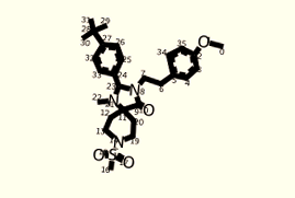 COc1ccc(CCN2C(=O)C3(CCN(S(C)(=O)=O)CC3)N(C)C2c2ccc(C(C)(C)C)cc2)cc1